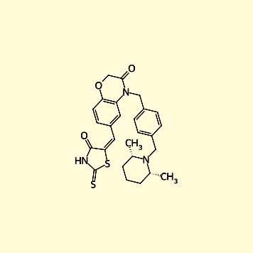 C[C@@H]1CCC[C@H](C)N1Cc1ccc(CN2C(=O)COc3ccc(/C=C4/SC(=S)NC4=O)cc32)cc1